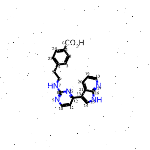 O=C(O)c1ccc(CCNc2nccc(-c3c[nH]c4ncccc34)n2)cc1